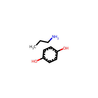 CCCN.Oc1ccc(O)cc1